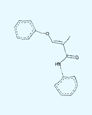 C/C(=C\Oc1ccccc1)C(=O)Nc1ccccc1